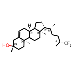 C[C@H](CC[C@@H](C)C(F)(F)F)[C@H]1CCC2[C@@H]3CC=C4C[C@@](C)(O)CC[C@]4(C)C3CC[C@@]21C